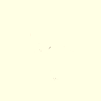 COC(=O)c1cccc2c1C[C@H](CO[Si](C)(C)C(C)(C)C)N(C(=O)Cc1c(F)ccc(C)c1F)[C@H]2C